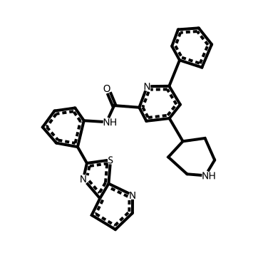 O=C(Nc1ccccc1-c1nc2cccnc2s1)c1cc(C2CCNCC2)cc(-c2ccccc2)n1